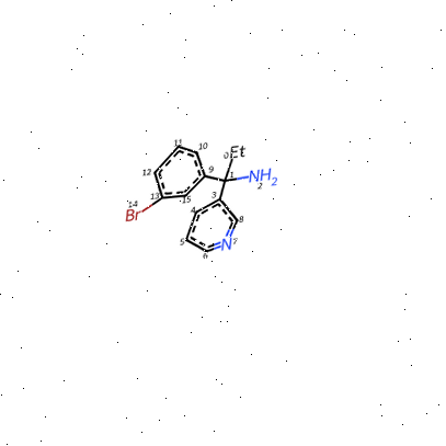 CCC(N)(c1cccnc1)c1cccc(Br)c1